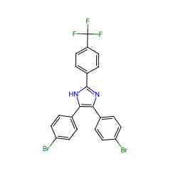 FC(F)(F)c1ccc(-c2nc(-c3ccc(Br)cc3)c(-c3ccc(Br)cc3)[nH]2)cc1